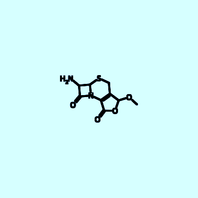 COC1OC(=O)C2=C1CSC1C(N)C(=O)N21